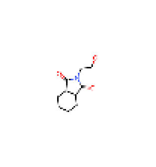 [O]CCN1C(=O)C2CCCCC2C1=O